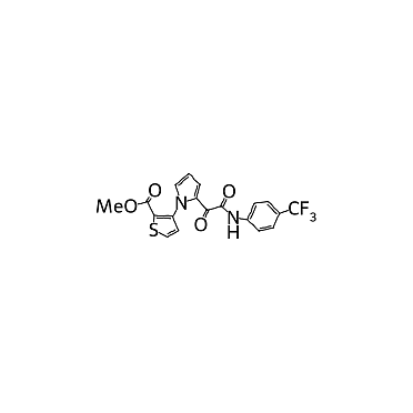 COC(=O)c1sccc1-n1cccc1C(=O)C(=O)Nc1ccc(C(F)(F)F)cc1